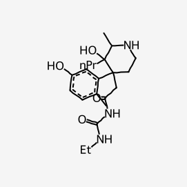 CCCC1(O)C(C)NCCC1(CC(=O)NC(=O)NCC)c1cc(O)ccc1C